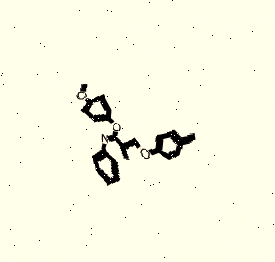 COc1ccc(OC(=Nc2ccccc2)C(C)=COc2ccc(C)cc2)cc1